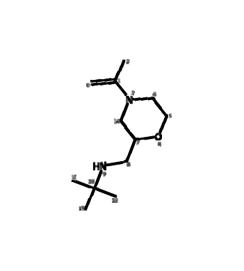 C=C(C)N1CCOC(CNC(C)(C)C)C1